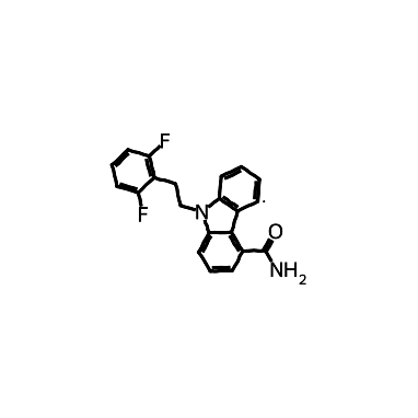 NC(=O)c1cccc2c1c1[c]cccc1n2CCc1c(F)cccc1F